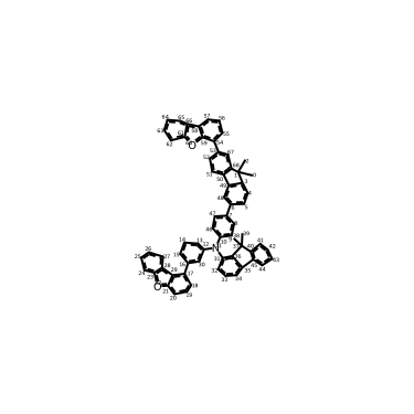 CC1(C)c2ccc(-c3ccc(N(c4cccc(-c5cccc6oc7ccccc7c56)c4)c4cccc5c4C(C)(C)c4ccccc4-5)cc3)cc2-c2ccc(-c3cccc4c3oc3ccccc34)cc21